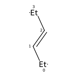 C[CH]/C=C/[CH]C